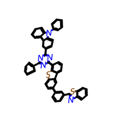 C1=C(c2nc(-c3ccccc3)nc(-c3cccc4c3sc3ccc(-c5cccc(-c6nc7ccccc7s6)c5)cc34)n2)CC2C(=C1)N(c1ccccc1)c1ccccc12